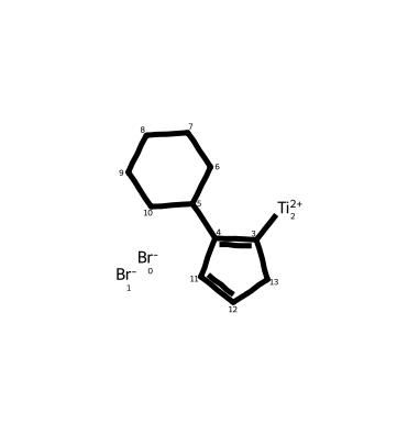 [Br-].[Br-].[Ti+2][C]1=C(C2CCCCC2)C=CC1